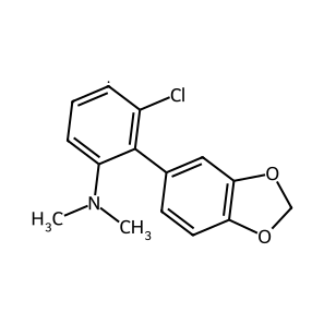 CN(C)c1cc[c]c(Cl)c1-c1ccc2c(c1)OCO2